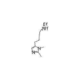 CCNCCCc1cnc(C)n1C